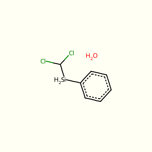 ClC(Cl)[SiH2]c1ccccc1.O